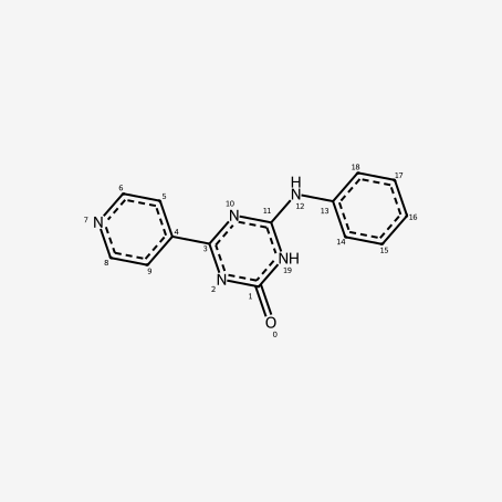 O=c1nc(-c2ccncc2)nc(Nc2ccccc2)[nH]1